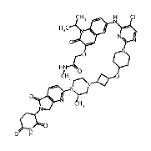 CNC(=O)COc1cc2cc(Nc3nc(N4CCC(OC5CC(N6CCN(c7ccc8c(n7)CN([C@@H]7CCC(=O)NC7=O)C8=O)[C@H](C)C6)C5)CC4)ncc3Cl)ccc2n(C(C)C)c1=O